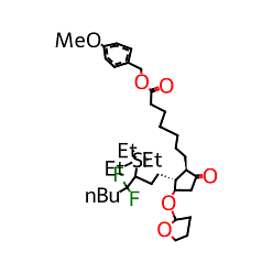 CCCCC(F)(F)C(CC[C@H]1[C@H](OC2CCCO2)CC(=O)[C@@H]1CCCCCCC(=O)OCc1ccc(OC)cc1)[Si](CC)(CC)CC